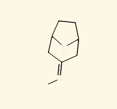 O/N=C1\C[C]2CCC(C1)N2